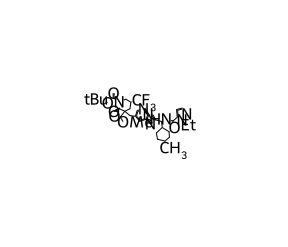 CCn1nccc1C(=O)N[C@H](c1cn2ncc(CC3(C(=O)OC)C[C@@H](C(F)(F)F)CN(C(=O)OC(C)(C)C)C3=O)cc2n1)C1CCC(C)CC1